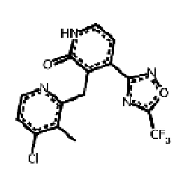 Cc1c(Cl)ccnc1Cc1c(-c2noc(C(F)(F)F)n2)cc[nH]c1=O